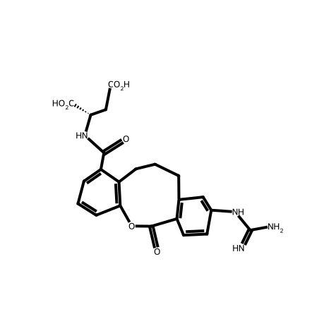 N=C(N)Nc1ccc2c(c1)CCCc1c(cccc1C(=O)N[C@@H](CC(=O)O)C(=O)O)OC2=O